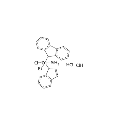 C[CH2][Zr](=[SiH2])([Cl])([CH]1C=Cc2ccccc21)[CH]1c2ccccc2-c2ccccc21.Cl.Cl